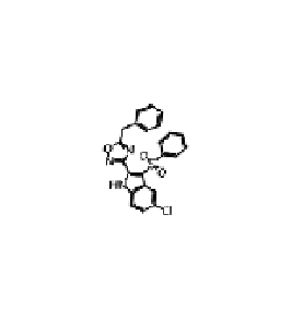 O=S(=O)(c1ccccc1)c1c(-c2noc(Cc3ccccc3)n2)[nH]c2ccc(Cl)cc12